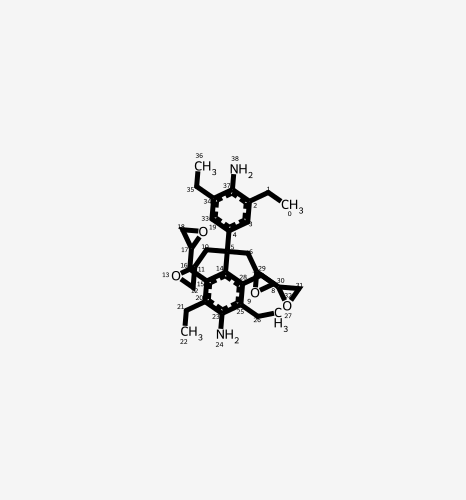 CCc1cc(C(CC2CO2)(CC2CO2)c2c(CC3CO3)c(CC)c(N)c(CC)c2CC2CO2)cc(CC)c1N